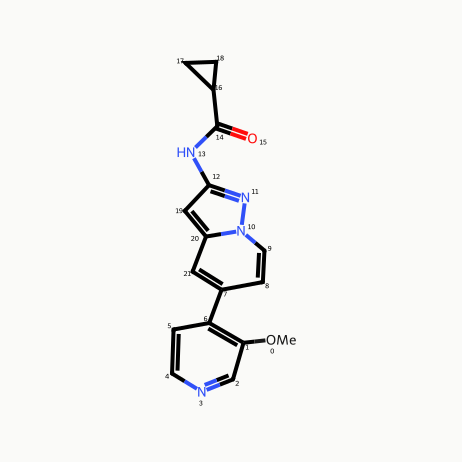 COc1cnccc1-c1ccn2nc(NC(=O)C3CC3)cc2c1